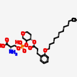 CCCCCCCCCCCOc1ccccc1CCC(=O)O[C@H]1CCOC[C@@H]1OP(=O)(O)OC[C@H](N)C(=O)O